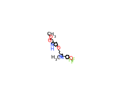 CCOC(=O)Cc1c[nH]c2cc(OCCCc3cc(-c4ccc(OC(F)(F)F)cc4)nn3C)ccc12